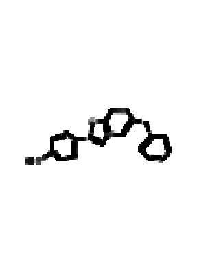 O=Cc1ccc(-c2cc3cc(Cc4ccccc4)ccc3o2)cc1